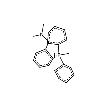 CN(C)Cc1ccccc1[PH](C)(c1ccccc1)c1ccccc1